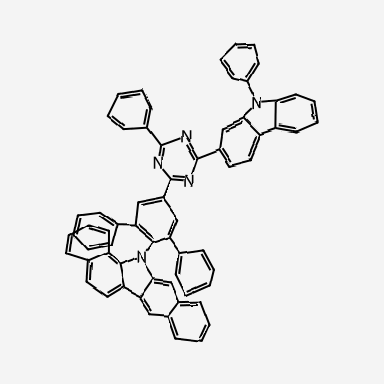 c1ccc(-c2nc(-c3cc(-c4ccccc4)c(-n4c5cc6ccccc6cc5c5ccc6ccccc6c54)c(-c4ccccc4)c3)nc(-c3ccc4c5ccccc5n(-c5ccccc5)c4c3)n2)cc1